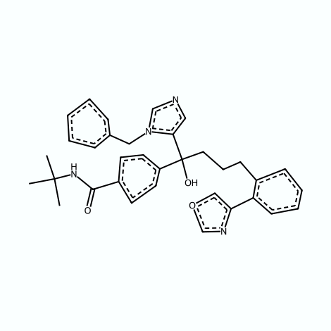 CC(C)(C)NC(=O)c1ccc(C(O)(CCCc2ccccc2-c2cocn2)c2cncn2Cc2ccccc2)cc1